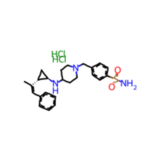 CC(=Cc1ccccc1)[C@@H]1C[C@H]1NC1CCN(Cc2ccc(S(N)(=O)=O)cc2)CC1.Cl.Cl